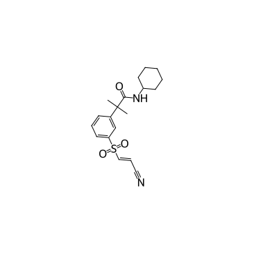 CC(C)(C(=O)NC1CCCCC1)c1cccc(S(=O)(=O)C=CC#N)c1